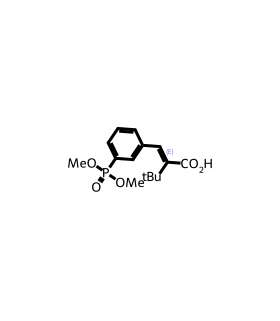 COP(=O)(OC)c1cccc(/C=C(/C(=O)O)C(C)(C)C)c1